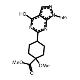 CCCn1ncc2c(O)nc(C3CCC(OC)(C(=O)OC)CC3)nc21